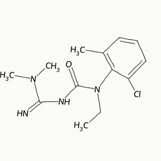 CCN(C(=O)NC(=N)N(C)C)c1c(C)cccc1Cl